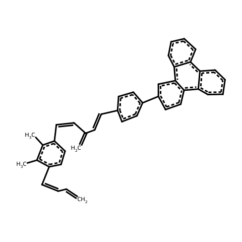 C=C/C=C\c1ccc(/C=C\C(=C)/C=C/c2ccc(-c3ccc4c5ccccc5c5ccccc5c4c3)cc2)c(C)c1C